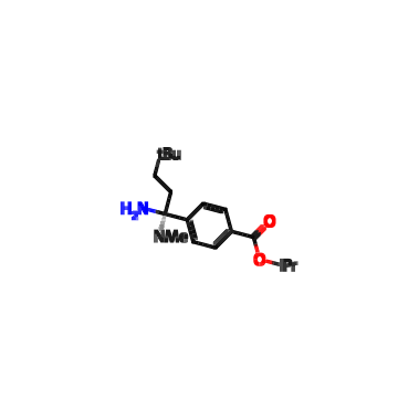 CN[C@](N)(CCC(C)(C)C)c1ccc(C(=O)OC(C)C)cc1